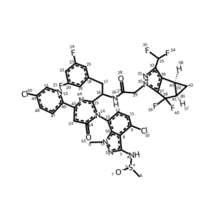 Cn1nc(N[S+](C)[O-])c2c(Cl)ccc(-n3c(C(Cc4cc(F)cc(F)c4)NC(=O)Cn4nc(C(F)F)c5c4C(F)(F)[C@@H]4C[C@H]54)nc(-c4ccc(Cl)cn4)cc3=O)c21